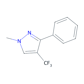 Cn1cc(C(F)(F)F)c(-c2ccccc2)n1